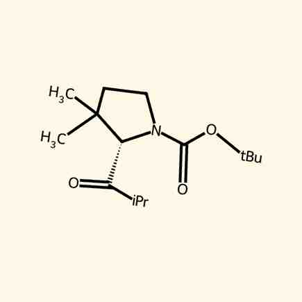 CC(C)C(=O)[C@H]1N(C(=O)OC(C)(C)C)CCC1(C)C